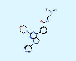 CCN(CC)CCNC(=O)c1cccc(-c2nc(N3CCOCC3)nc3c2CCN3c2ccncc2)c1